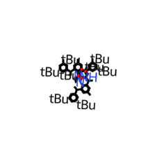 Cc1cc(C(C)c2cc(C(C)(C)C)cc(C(C)(C)C)c2)c(-n2ccn(-c3c(C(C)c4cc(C(C)(C)C)cc(C(C)(C)C)c4)cc(C)cc3C(C)c3cc(C(C)(C)C)cc(C(C)(C)C)c3)c2=N)c(C(C)c2cc(C(C)(C)C)cc(C(C)(C)C)c2)c1